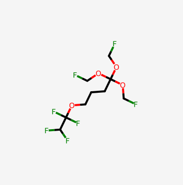 FCOC(CCCOC(F)(F)C(F)F)(OCF)OCF